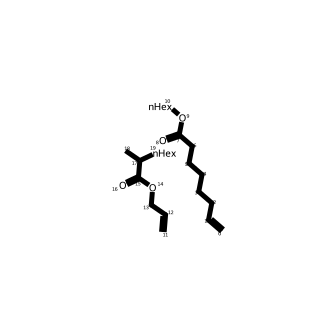 C=CCCCCCC(=O)OCCCCCC.C=CCOC(=O)C(C)CCCCCC